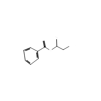 NC(CC(=O)O)NC(=O)c1ccccc1